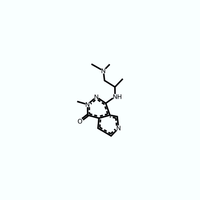 CC(CN(C)C)Nc1nn(C)c(=O)c2ccncc12